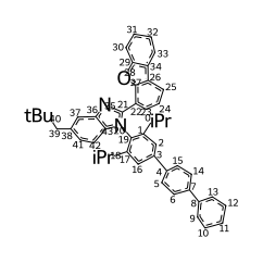 CC(C)c1cc(-c2ccc(-c3ccccc3)cc2)cc(C(C)C)c1-n1c(-c2cccc3c2oc2ccccc23)nc2cc(CC(C)(C)C)ccc21